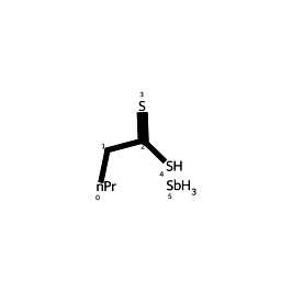 CCCCC(=S)S.[SbH3]